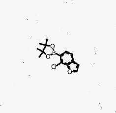 CC1(C)OB(c2ccc3ccoc3c2Cl)OC1(C)C